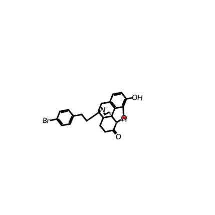 O=C1CCC2C3Cc4ccc(O)c5c4[C@@]2(CCN3CCc2ccc(Br)cc2)[C@H]1O5